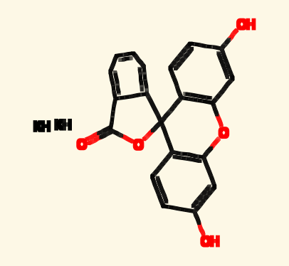 O=C1OC2(c3ccc(O)cc3Oc3cc(O)ccc32)c2ccccc21.[KH].[KH]